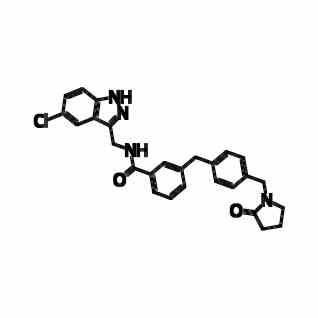 O=C(NCc1n[nH]c2ccc(Cl)cc12)c1cccc(Cc2ccc(CN3CCCC3=O)cc2)c1